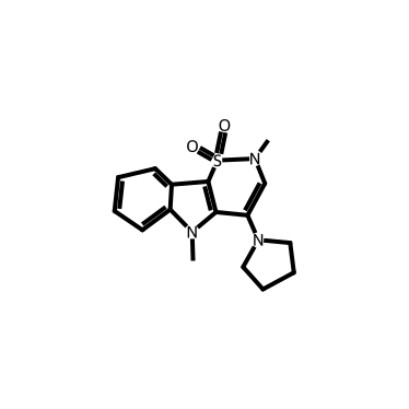 CN1C=C(N2CCCC2)c2c(c3ccccc3n2C)S1(=O)=O